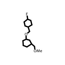 COCC1CCCC(OCC2CCC(F)CC2)C1